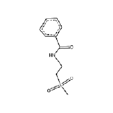 CS(=O)(=O)CCNC(=O)c1cc[c]cc1